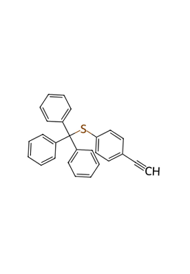 C#Cc1ccc(SC(c2ccccc2)(c2ccccc2)c2ccccc2)cc1